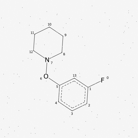 Fc1cccc(ON2CCCCC2)c1